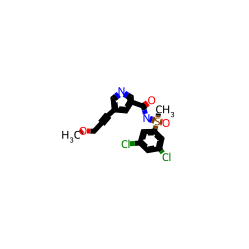 COCC#Cc1cncc(C(=O)N=S(C)(=O)c2cc(Cl)cc(Cl)c2)c1